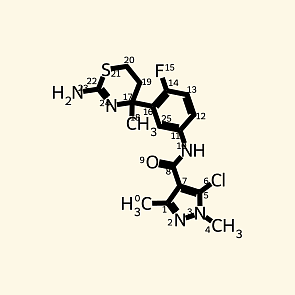 Cc1nn(C)c(Cl)c1C(=O)Nc1ccc(F)c(C2(C)CCSC(N)=N2)c1